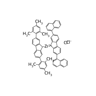 Cc1cc(C)c(-c2ccc3c(c2)[CH]([Zr+2][CH]2c4cc(-c5cccc6ccccc56)ccc4-c4ccc(-c5cccc6ccccc56)cc42)c2cc(-c4c(C)cc(C)cc4C)ccc2-3)c(C)c1.[Cl-].[Cl-]